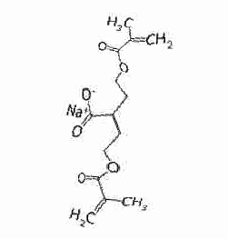 C=C(C)C(=O)OCCC(CCOC(=O)C(=C)C)C(=O)[O-].[Na+]